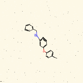 Cc1ccc(Oc2cccc(NCc3ccccc3)c2)cc1